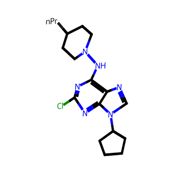 CCCC1CCN(Nc2nc(Cl)nc3c2ncn3C2CCCC2)CC1